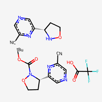 CC(C)(C)OC(=O)N1OCC[C@H]1c1cncc(C#N)n1.N#Cc1cncc([C@@H]2CCON2)n1.O=C(O)C(F)(F)F